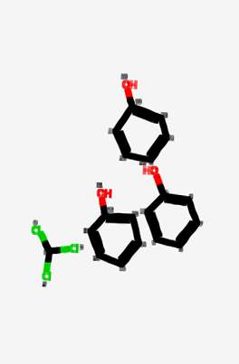 ClC(Cl)Cl.Oc1ccccc1.Oc1ccccc1.Oc1ccccc1